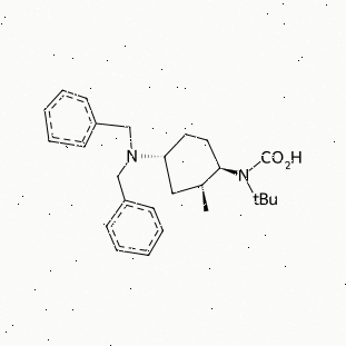 C[C@H]1C[C@H](N(Cc2ccccc2)Cc2ccccc2)CC[C@H]1N(C(=O)O)C(C)(C)C